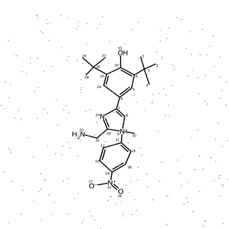 CC(C)(C)c1cc(C2=C[N+](C)(c3ccc([N+](=O)[O-])cc3)C(CN)=N2)cc(C(C)(C)C)c1O